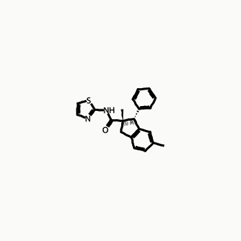 Cc1ccc2c(c1)[C@@H](c1ccccc1)[C@@](C)(C(=O)Nc1nccs1)C2